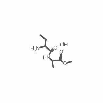 CCC(N)C(=O)NC(C)C(=O)OC.Cl